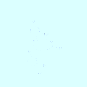 CC(=O)Nc1cccc(NC(=O)/C=C2\CC(OC(=O)O)Nc3cc(Cl)cc(Cl)c32)c1